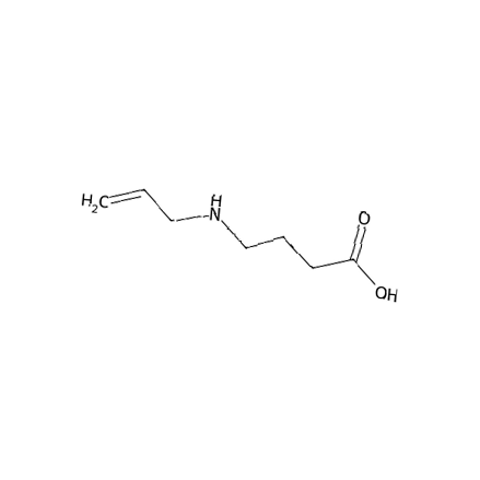 C=CCNCCCC(=O)O